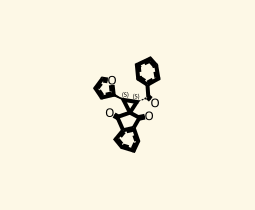 O=C(c1ccccc1)[C@H]1[C@H](c2ccco2)C12C(=O)c1ccccc1C2=O